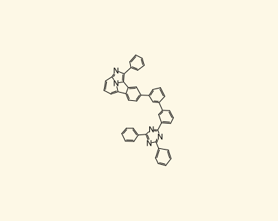 c1ccc(-c2nc(-c3ccccc3)nc(-c3cccc(-c4cccc(-c5ccc6c(c5)c5c(-c7ccccc7)nc7cccc6n75)c4)c3)n2)cc1